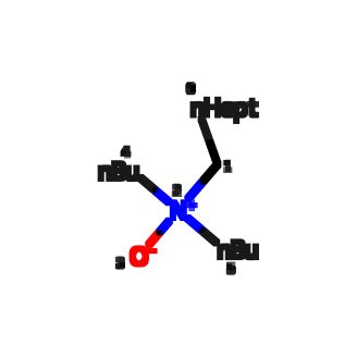 CCCCCCCC[N+]([O-])(CCCC)CCCC